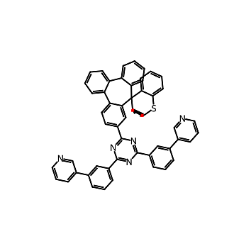 c1cncc(-c2cccc(-c3nc(-c4cccc(-c5cccnc5)c4)nc(-c4ccc5c(c4)C4(c6ccccc6Sc6ccccc64)c4ccccc4-c4ccccc4-5)n3)c2)c1